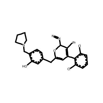 CC(C)C1=C(c2c(Cl)cccc2Cl)C=C(Cc2ccc(CN3CCCC3)c(O)c2)OC1N=[N]